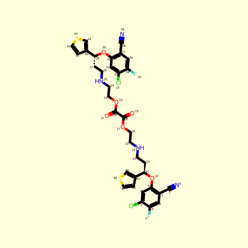 N#Cc1cc(F)c(Cl)cc1O[C@H](CCNCCOC(=O)C(=O)OCCNCC[C@@H](Oc1cc(Cl)c(F)cc1C#N)c1ccsc1)c1ccsc1